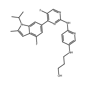 Cc1cc2c(F)cc(-c3nc(Nc4ccc(NCCCO)cn4)ncc3F)cc2n1C(C)C